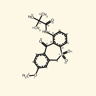 COc1ccc2c(c1)CS(=O)(=O)c1cccc(NC(=O)C(C)(C)O)c1C2=O